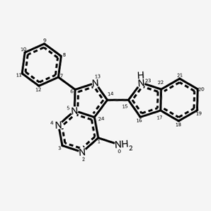 Nc1ncnn2c(-c3ccccc3)nc(-c3cc4ccccc4[nH]3)c12